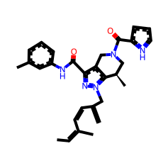 C=C(/C=C\C(C)=C/C)Cn1nc(C(=O)Nc2cccc(C)c2)c2c1[C@H](C)CN(C(=O)c1ccc[nH]1)C2